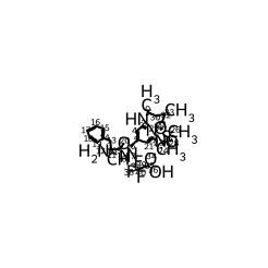 C[C@H](Nc1cc(-c2nnc([C@](C)(N)Cc3ccccc3)o2)cc(N(C)S(C)(=O)=O)n1)[C@H]1C[C@@H]1C.O=C(O)C(F)(F)F